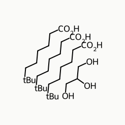 CC(C)(C)CCCCCC(=O)O.CC(C)(C)CCCCCC(=O)O.CC(C)(C)CCCCCC(=O)O.OCC(O)CO